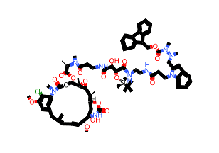 COc1cc2cc(c1Cl)N(C)C(=O)C[C@H](OC(=O)[C@H](C)N(C)C(=O)CCNC(=O)[C@@H](O)C(O[Si](C)(C)C(C)(C)C)C(=O)NCCNC(=O)CCn1c(CN(C)N(C)C(=O)OCC3c4ccccc4-c4ccccc43)cc3ccccc31)[C@]1(C)OC1[C@H](C)[C@@H]1C[C@@](O)(NC(=O)O1)[C@H](OC)/C=C/C=C(\C)C2